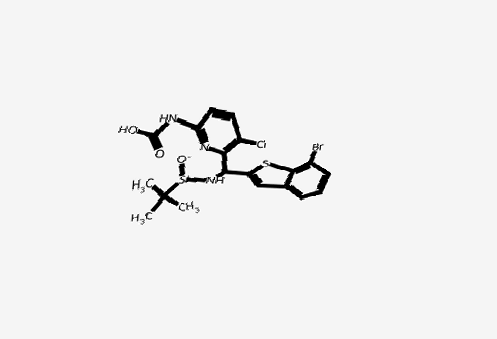 CC(C)(C)[S+]([O-])NC(c1cc2cccc(Br)c2s1)c1nc(NC(=O)O)ccc1Cl